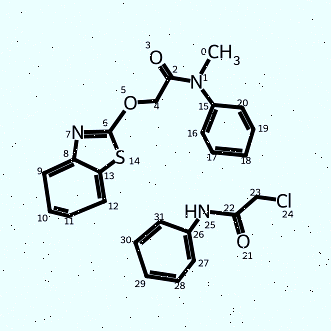 CN(C(=O)COc1nc2ccccc2s1)c1ccccc1.O=C(CCl)Nc1ccccc1